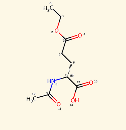 CCOC(=O)CC[C@@H](NC(C)=O)C(=O)O